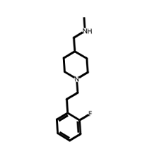 CNCC1CCN(CCc2ccccc2F)CC1